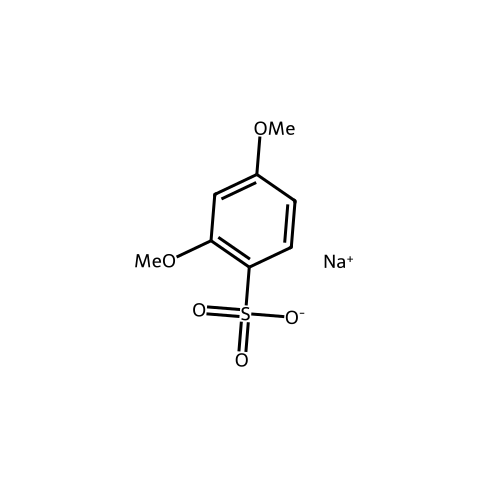 COc1ccc(S(=O)(=O)[O-])c(OC)c1.[Na+]